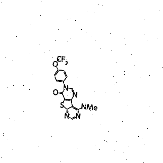 CNc1ncnc2sc3c(=O)n(-c4ccc(OC(F)(F)F)cc4)cnc3c12